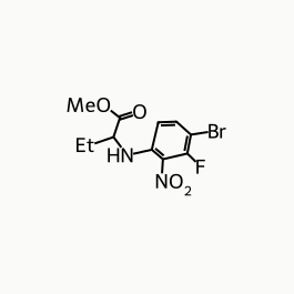 CCC(Nc1ccc(Br)c(F)c1[N+](=O)[O-])C(=O)OC